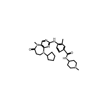 Cc1cc(C(=O)NC2CCN(C)CC2)ccc1Nc1ncc2c(n1)N(C1CCCC1)CCC(=O)N2C